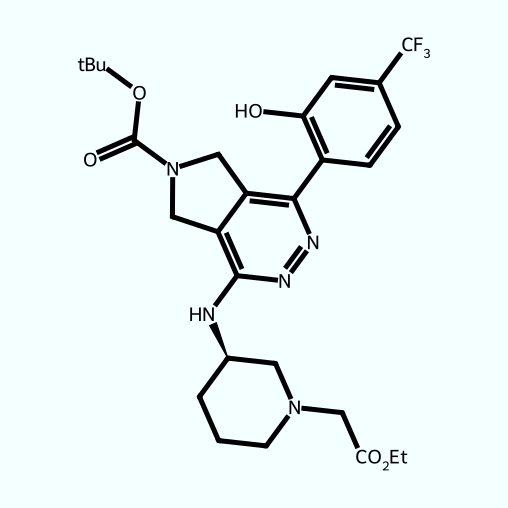 CCOC(=O)CN1CCC[C@@H](Nc2nnc(-c3ccc(C(F)(F)F)cc3O)c3c2CN(C(=O)OC(C)(C)C)C3)C1